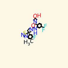 Cc1ccc([C@@]2(c3ncns3)CCN(C(=O)Nc3cc(C(F)F)ccc3CN3CC(O)C3)C2)cc1F